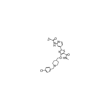 CNC(=O)c1sc(-c2ccnc(NC(=O)C3CC3)c2)nc1OCC1CCN(Cc2ccc(Cl)cc2)CC1